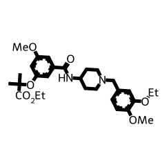 CCOC(=O)C(C)(C)Oc1cc(OC)cc(C(=O)NC2CCN(Cc3ccc(OC)c(OCC)c3)CC2)c1